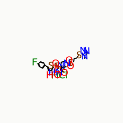 Cl.Cn1cnnc1SCCCS(=O)(=O)N1CCN(S(=O)(=O)c2ccc(-c3ccc(F)cc3)s2)[C@@H](C(=O)NO)C1